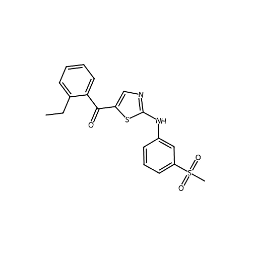 CCc1ccccc1C(=O)c1cnc(Nc2cccc(S(C)(=O)=O)c2)s1